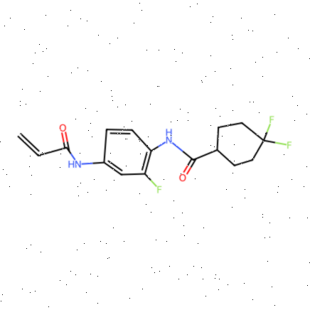 C=CC(=O)Nc1ccc(NC(=O)C2CCC(F)(F)CC2)c(F)c1